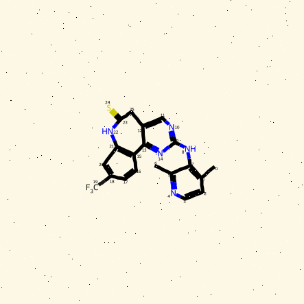 Cc1ccnc(C)c1Nc1ncc2c(n1)-c1ccc(C(F)(F)F)cc1NC(=S)C2